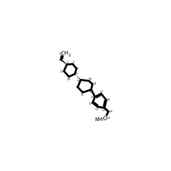 C=C[C@H]1CC[C@H](C2CCC(c3ccc(COC)cc3)CC2)CC1